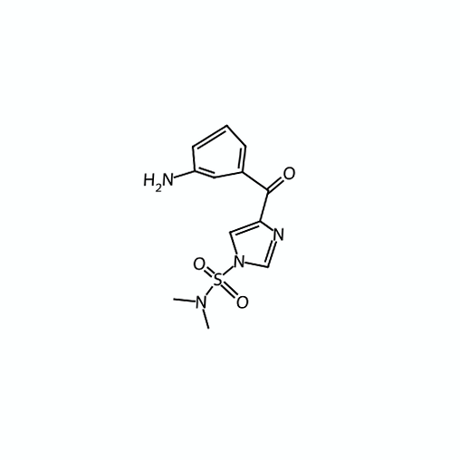 CN(C)S(=O)(=O)n1cnc(C(=O)c2cccc(N)c2)c1